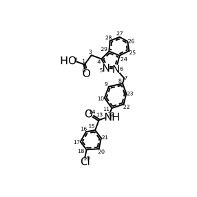 O=C(O)Cc1nn(Cc2ccc(NC(=O)c3ccc(Cl)cc3)cc2)c2ccccc12